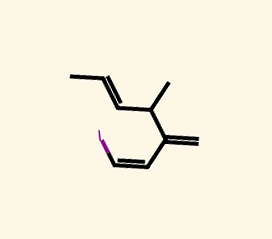 C=C(/C=C\I)C(C)/C=C/C